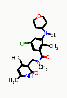 CCN(c1cc(Cl)cc(C(=O)N(C)Cc2c(C)cc(C)[nH]c2=O)c1C)C1CCOCC1